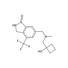 CN(Cc1cc2c(c(C(F)(F)F)c1)CNC2=O)CC1(O)CCC1